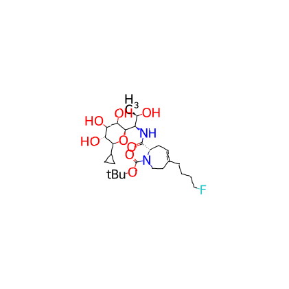 C[C@@H](O)[C@@H](NC(=O)[C@@H]1CC=C(CCCCF)CCN1C(=O)OC(C)(C)C)[C@H]1OC(C2CC2)[C@H](O)C(O)C1O